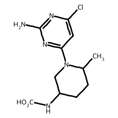 CC1CCC(NC(=O)O)CN1c1cc(Cl)nc(N)n1